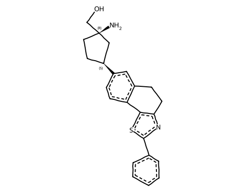 N[C@]1(CO)CC[C@H](c2ccc3c(c2)CCc2nc(-c4ccccc4)sc2-3)C1